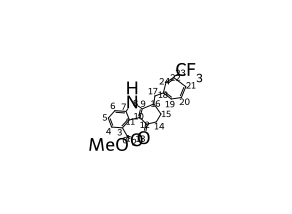 COC(=O)c1cccc2[nH]c3c(c12)C(=O)CCC3Cc1cccc(C(F)(F)F)c1